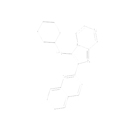 c1ccc2nc(-c3nc4cnccn4c3NC3CCCCC3)ccc2c1